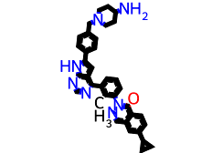 Cc1c(-c2ncnc3[nH]c(-c4ccc(CN5CCC(N)CC5)cc4)cc23)cccc1-n1ncc2cc(C3CC3)ccc2c1=O